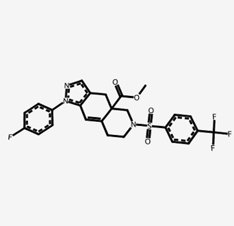 COC(=O)C12Cc3cnn(-c4ccc(F)cc4)c3C=C1CCN(S(=O)(=O)c1ccc(C(F)(F)F)cc1)C2